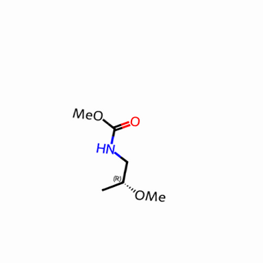 COC(=O)NC[C@@H](C)OC